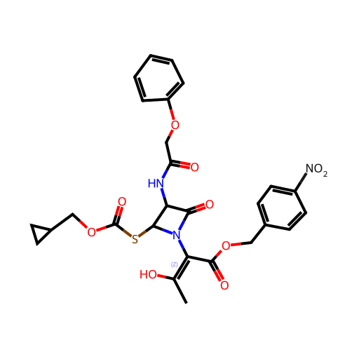 C/C(O)=C(\C(=O)OCc1ccc([N+](=O)[O-])cc1)N1C(=O)C(NC(=O)COc2ccccc2)C1SC(=O)OCC1CC1